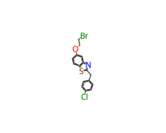 Clc1ccc(Cc2nc3cc(OCCBr)ccc3s2)cc1